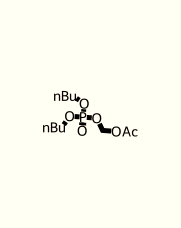 CCCCOP(=O)(OCCCC)OCOC(C)=O